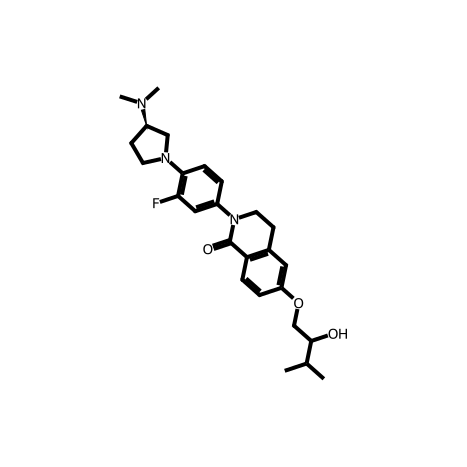 CC(C)C(O)COc1ccc2c(c1)CCN(c1ccc(N3CC[C@@H](N(C)C)C3)c(F)c1)C2=O